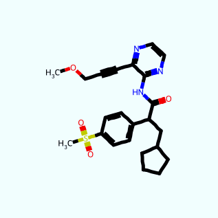 COCC#Cc1nccnc1NC(=O)C(CC1CCCC1)c1ccc(S(C)(=O)=O)cc1